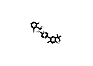 Cc1cc2c(cc1-c1cnc(NC(=O)c3c(F)cccc3F)cn1)C(C)(C)CO2